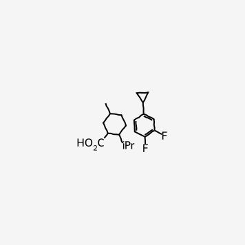 CC1CCC(C(C)C)C(C(=O)O)C1.Fc1ccc(C2CC2)cc1F